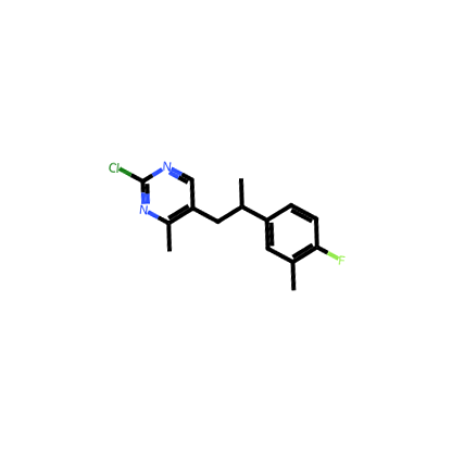 Cc1cc(C(C)Cc2cnc(Cl)nc2C)ccc1F